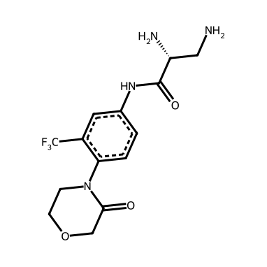 NC[C@@H](N)C(=O)Nc1ccc(N2CCOCC2=O)c(C(F)(F)F)c1